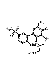 CCCCc1ccc(S(C)(=O)=O)cc1-c1cn(C)c(=O)c2c1O[C@H](COC)CN2